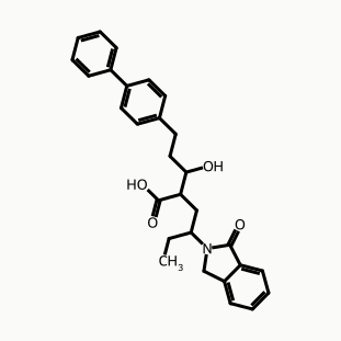 CCC(CC(C(=O)O)C(O)CCc1ccc(-c2ccccc2)cc1)N1Cc2ccccc2C1=O